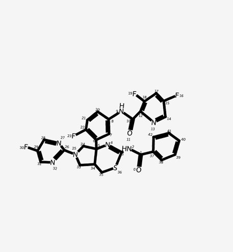 O=C(NC1=NC2(c3cc(NC(=O)c4ncc(F)cc4F)ccc3F)CN(c3ncc(F)cn3)CC2CS1)c1ccccc1